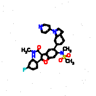 CNC(=O)c1c(-c2ccc(F)cc2)oc2cc(N(C)S(C)(=O)=O)c(-c3ccc4ccn(-c5ccncc5)c4c3)cc12